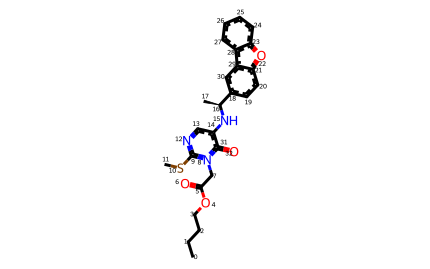 CCCCOC(=O)Cn1c(SC)ncc(N[C@@H](C)c2ccc3oc4ccccc4c3c2)c1=O